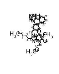 CCCCCc1nc2c(c(=O)n(C)c(=O)n2CCOC)n1Cc1ccc(-c2ccccc2-c2nnn[nH]2)cc1